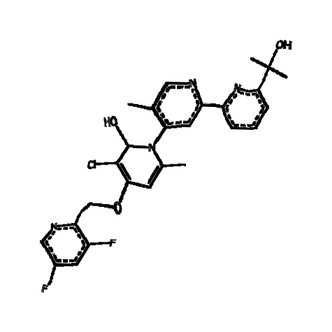 CC1=CC(OCc2ncc(F)cc2F)=C(Cl)C(O)N1c1cc(-c2cccc(C(C)(C)O)n2)ncc1C